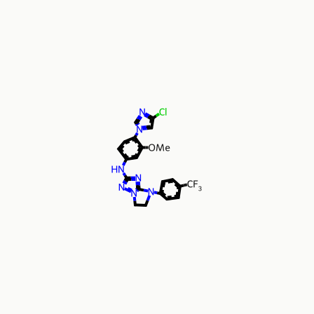 COc1cc(Nc2nc3n(n2)CCN3c2ccc(C(F)(F)F)cc2)ccc1-n1cnc(Cl)c1